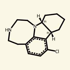 Clc1ccc2c3c1[C@H]1CCCC[C@H]1N3CCNCC2